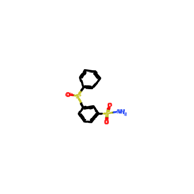 NS(=O)(=O)c1cccc([S+]([O-])c2ccccc2)c1